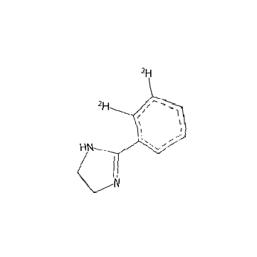 [2H]c1cccc(C2=NCCN2)c1[2H]